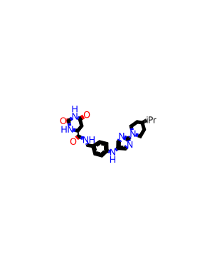 CC(C)C1CCN(c2ncc(Nc3ccc(CNC(=O)[C@@H]4CC(=O)NC(=O)N4)cc3)cn2)CC1